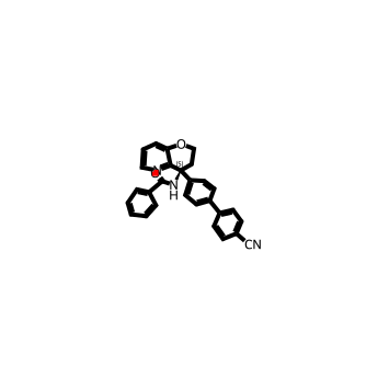 N#Cc1ccc(-c2ccc([C@@]3(NC(=O)c4ccccc4)CCOc4cccnc43)cc2)cc1